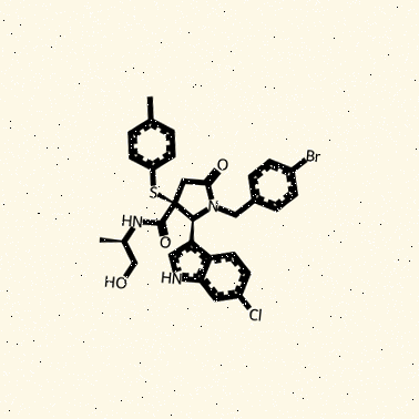 Cc1ccc(S[C@@]2(C(=O)N[C@H](C)CO)CC(=O)N(Cc3ccc(Br)cc3)[C@H]2c2c[nH]c3cc(Cl)ccc23)cc1